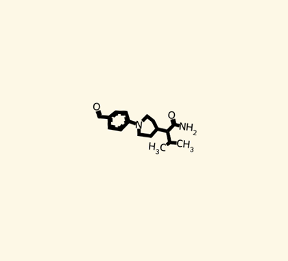 CC(C)C(C(N)=O)C1CCN(c2ccc(C=O)cc2)CC1